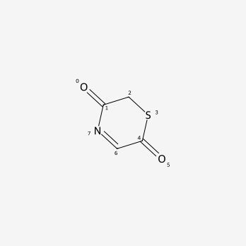 O=C1CSC(=O)C=N1